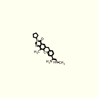 CN/C=C(\N)c1ccc(Cc2cc3c(=O)n(C4CCCC4)cnc3c(C)c2C)cc1